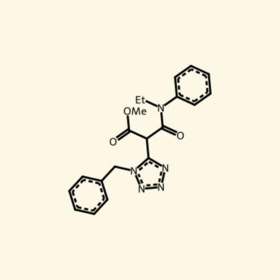 CCN(C(=O)C(C(=O)OC)c1nnnn1Cc1ccccc1)c1ccccc1